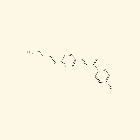 CCCCSc1ccc(C=CC(=O)c2ccc(Cl)cc2)cc1